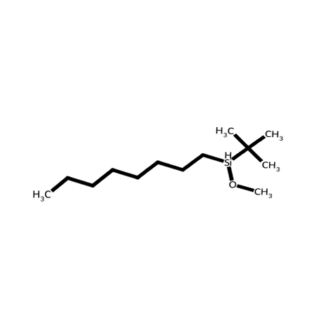 CCCCCCCC[SiH](OC)C(C)(C)C